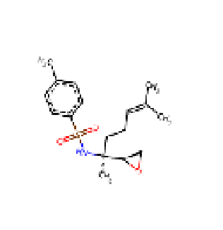 CC(C)=CCC[C@](C)(NS(=O)(=O)c1ccc(C)cc1)[C@H]1CO1